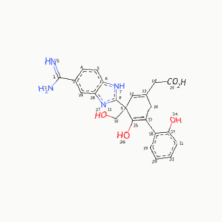 N=C(N)c1ccc2[nH]c(C3(CO)C=C(CC(=O)O)CC(c4ccccc4O)=C3O)nc2c1